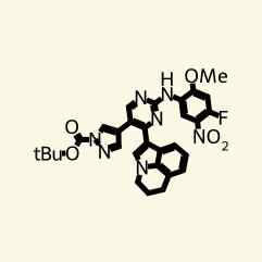 COc1cc(F)c([N+](=O)[O-])cc1Nc1ncc(-c2cnn(C(=O)OC(C)(C)C)c2)c(-c2cn3c4c(cccc24)CCC3)n1